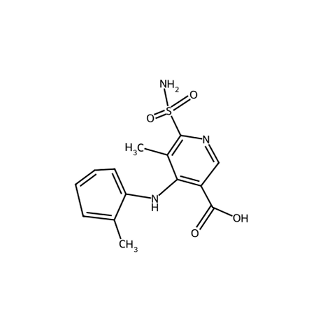 Cc1ccccc1Nc1c(C(=O)O)cnc(S(N)(=O)=O)c1C